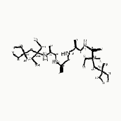 C=C(CNC(=C)CNC(=C)[C@@](C)(CC)CC(C)(CC)CC)NCC(=C)NC(CC)(CC)CC(C)(CC)CC